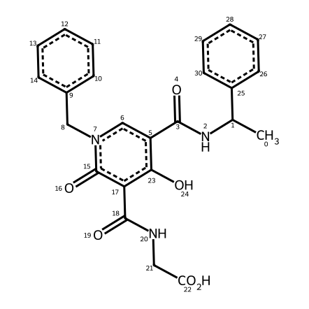 CC(NC(=O)c1cn(Cc2ccccc2)c(=O)c(C(=O)NCC(=O)O)c1O)c1ccccc1